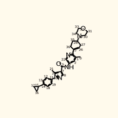 Cc1cc(NC(=O)c2cnn(-c3ccc(C4CC4)cc3)c2C)cnc1C1=CCC(N2CCOCC2)CC1